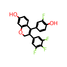 Oc1ccc2c(c1)OCC(c1cc(F)c(F)c(F)c1)=C2c1ccc(O)c(F)c1